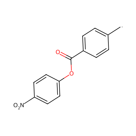 [CH2]c1ccc(C(=O)Oc2ccc([N+](=O)[O-])cc2)cc1